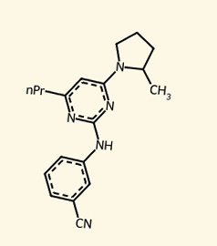 CCCc1cc(N2CCCC2C)nc(Nc2cccc(C#N)c2)n1